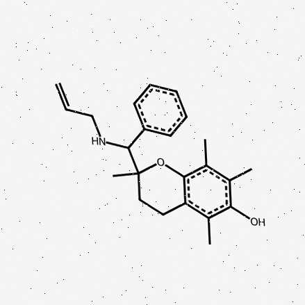 C=CCNC(c1ccccc1)C1(C)CCc2c(C)c(O)c(C)c(C)c2O1